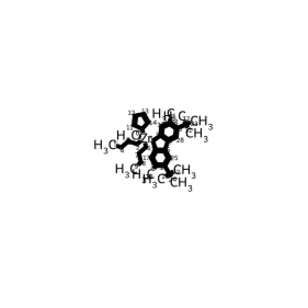 [CH2]=[Zr]([CH2]CCC)([CH2]CCC)([CH]1C=CC=C1)[CH]1c2cc(C)c(C(C)(C)C)cc2-c2cc(C(C)(C)C)c(C)cc21